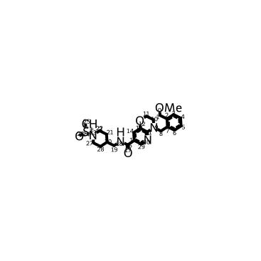 COCc1ccccc1CN1CCOc2cc(C(=O)NCC3CCN([S+](C)[O-])CC3)cnc21